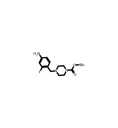 CC(C)(C)OC(=O)N1CCN(Cc2ccc(N)cc2F)CC1